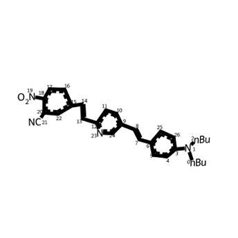 CCCCN(CCCC)c1ccc(C=Cc2ccc(C=Cc3ccc([N+](=O)[O-])c(C#N)c3)nc2)cc1